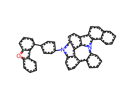 c1ccc2c(c1)ccc1c3ccc4c5c6c(cccc6n4-c4ccc(-c6cccc7oc8ccccc8c67)cc4)c4ccccc4n(c21)c35